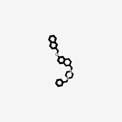 c1ccc(CN2CCN(CC3CCc4cc(OCc5ccc6ccccc6c5)ccc4C3)CC2)cc1